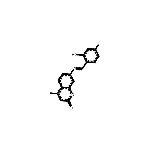 Cc1cc(=O)oc2cc(N=Cc3ccc(Cl)cc3O)ccc12